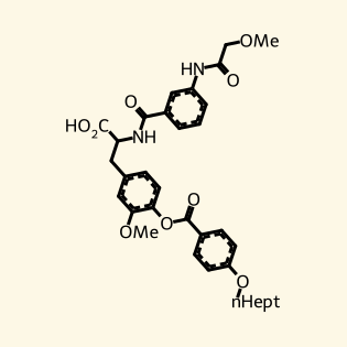 CCCCCCCOc1ccc(C(=O)Oc2ccc(CC(NC(=O)c3cccc(NC(=O)COC)c3)C(=O)O)cc2OC)cc1